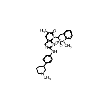 Cc1cc2cnc(Nc3ccc(C4CCCN(C)C4)cc3)nc2n(C2Cc3ccccc3N(C)S2(=O)=O)c1=O